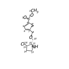 COC(=O)c1ccc(COC[C@@H]2NCCC2Cl)s1